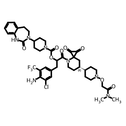 CN(C)C(=O)CON1CCC([C@@H]2CCN(C(=O)C(Cc3cc(Cl)c(N)c(C(F)(F)F)c3)OC(=O)N3CCC(N4CCc5ccccc5NC4=O)CC3)C3(C2)C(=O)C3=O)CC1